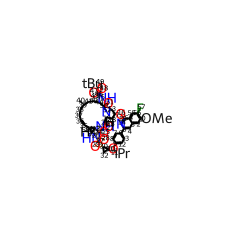 COc1cc2cc(-c3ccc(OC(C)C)cc3)nc(O[C@@H]3C[C@H]4C(=O)N[C@]5(C(=O)NS(=O)(=O)C6CC6)C[C@H]5/C=C\CC[C@@H](C)C[C@@H](C)[C@H](NC(=O)OC(C)(C)C)C(=O)N4C3)c2cc1F